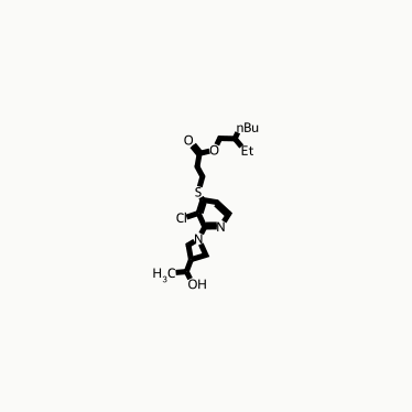 CCCCC(CC)COC(=O)CCSc1ccnc(N2CC(C(C)O)C2)c1Cl